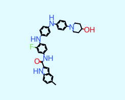 Cc1ccc2[nH]c(C(=O)Nc3ccc(Nc4ccc(Nc5ccc(N6CCC(O)CC6)cc5)cc4)c(F)c3)cc2c1